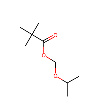 CC(C)OCOC(=O)C(C)(C)C